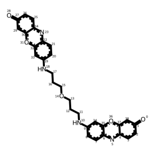 O=c1ccc2nc3ccc(NCCCOCCCNc4ccc5nc6ccc(=O)cc-6oc5c4)cc3oc-2c1